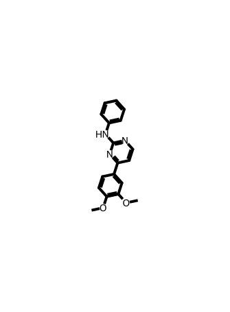 COc1ccc(-c2ccnc(Nc3ccccc3)n2)cc1OC